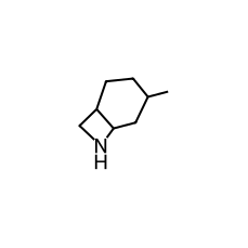 CC1CCC2CNC2C1